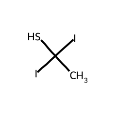 CC(S)(I)I